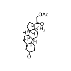 CC(=O)OCC(=O)[C@H]1CC[C@H]2[C@@H]3CCC4=CC(=O)CC[C@]4(CF)[C@H]3CC[C@]12C